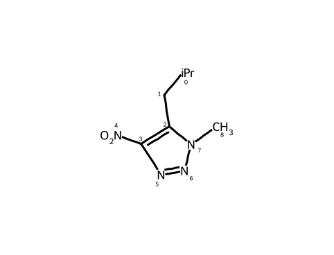 CC(C)Cc1c([N+](=O)[O-])nnn1C